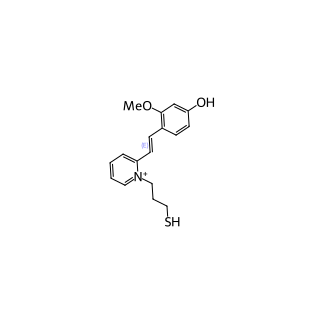 COc1cc(O)ccc1/C=C/c1cccc[n+]1CCCS